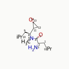 CC(C)C[C@H](N)C(=O)N(C)[C@@H](CC(C)C)C1CC1=O